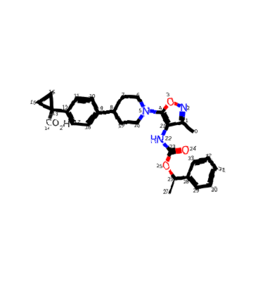 Cc1noc(N2CCC(c3ccc(C4(C(=O)O)CC4)cc3)CC2)c1NC(=O)O[C@H](C)c1ccccc1